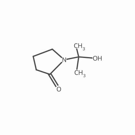 CC(C)(O)N1CCCC1=O